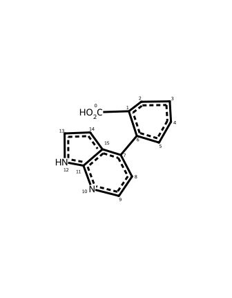 O=C(O)c1ccccc1-c1ccnc2[nH]ccc12